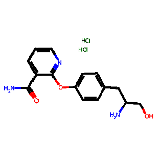 Cl.Cl.NC(=O)c1cccnc1Oc1ccc(CC(N)CO)cc1